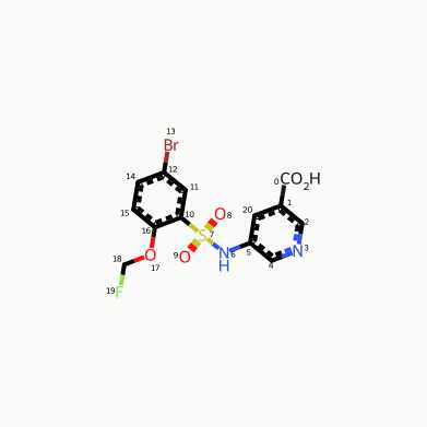 O=C(O)c1cncc(NS(=O)(=O)c2cc(Br)ccc2OCF)c1